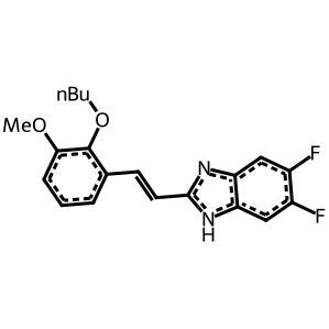 CCCCOc1c(/C=C/c2nc3cc(F)c(F)cc3[nH]2)cccc1OC